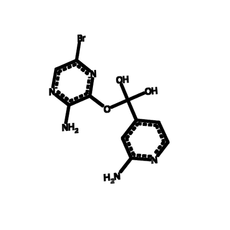 Nc1cc(C(O)(O)Oc2nc(Br)cnc2N)ccn1